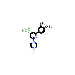 CC(C)COc1ccc(-c2cccc(N3CCNCC3)n2)cc1C(C)(C)C.Cl.Cl